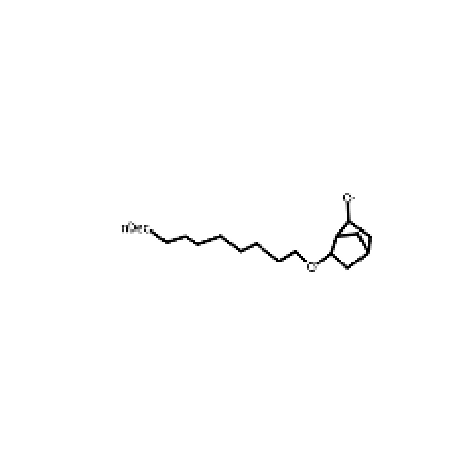 [CH2]CCCCCCCCCCCCCCCCCOC1CC2CC([O])C1C2